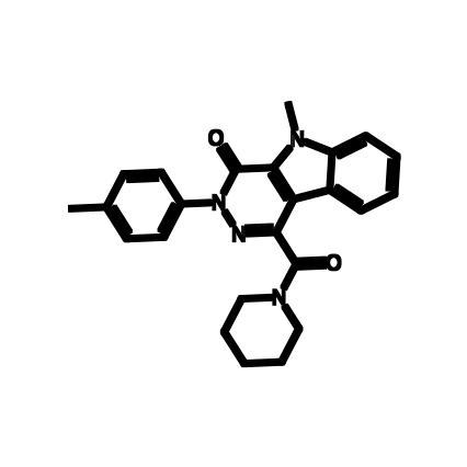 Cc1ccc(-n2nc(C(=O)N3CCCCC3)c3c4ccccc4n(C)c3c2=O)cc1